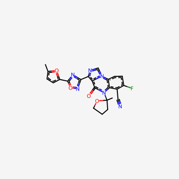 Cc1ccc(-c2nc(-c3ncn4c3c(=O)n(C3(C)CCCO3)c3c(C#N)c(F)ccc34)no2)o1